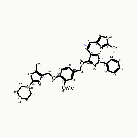 CCc1nc(/C=C\c2cn(-c3ccccc3)nc2OCc2ccc(OCc3nc(N4CCOCC4)sc3C)c(OC)c2)cs1